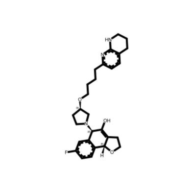 OC1=C2CCO[C@@H]2c2ccc(F)cc2[C@H]1N1CC[C@@H](OCCCCc2ccc3c(n2)NCCC3)C1